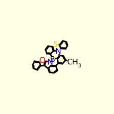 Cc1cc2c3c(c1)N1c4ccccc4Sc4cccc(c41)B3n1c3oc4ccccc4c3c3cccc-2c31